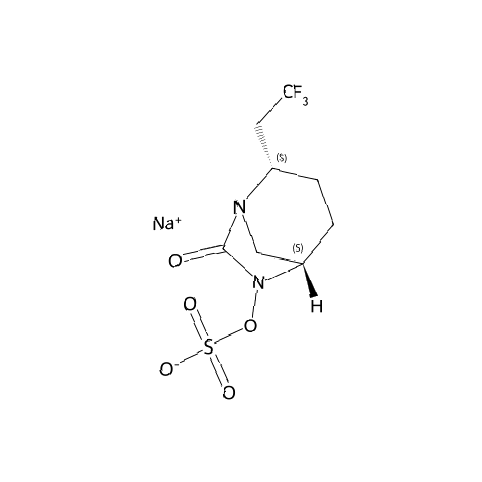 O=C1N2C[C@H](CC[C@H]2CC(F)(F)F)N1OS(=O)(=O)[O-].[Na+]